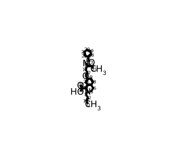 CC=CCN1CCc2ccc(OCCc3nc(-c4ccccc4)oc3C)cc2C1C(=O)O